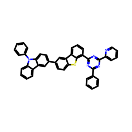 c1ccc(-c2nc(-c3ccccn3)nc(-c3cccc4c3sc3ccc(-c5ccc6c(c5)c5ccccc5n6-c5ccccc5)cc34)n2)cc1